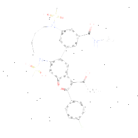 CNC(=O)c1c(-c2ccc(F)cc2)oc2cc3c(cc12)-c1cc(C(=O)NC(C)(C)C)cc(c1)N(S(C)(=O)=O)CCCCN3S(C)(=O)=O